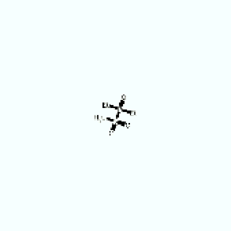 CCP(=O)(CC)S(C)(=O)=O